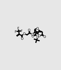 C=C(C(=O)OCC(=O)OC1C2OC(=O)C3C2OC1C3C(=O)OC(C)(C)C)C(F)(F)F